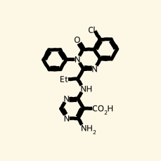 CCC(Nc1ncnc(N)c1C(=O)O)c1nc2cccc(Cl)c2c(=O)n1-c1ccccc1